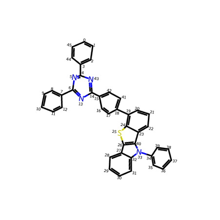 c1ccc(-c2nc(-c3ccccc3)nc(-c3ccc(-c4cccc5c4sc4c6ccccc6n(-c6ccccc6)c54)cc3)n2)cc1